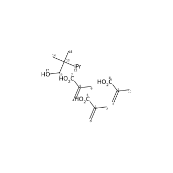 C=C(C)C(=O)O.C=C(C)C(=O)O.C=C(C)C(=O)O.CC(C)C(C)(C)CO